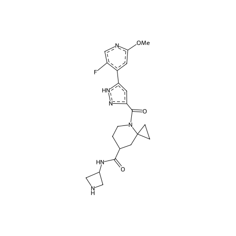 COc1cc(-c2cc(C(=O)N3CCC(C(=O)NC4CNC4)CC34CC4)n[nH]2)c(F)cn1